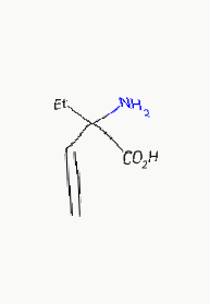 C=CC(N)(CC)C(=O)O